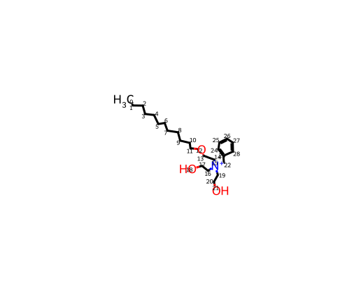 CCCCCCCCCCCCOCC[N+](CCO)(CCO)Cc1ccccc1